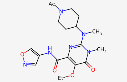 CCOc1c(C(=O)Nc2cnoc2)nc(N(C)C2CCN(C(C)=O)CC2)n(C)c1=O